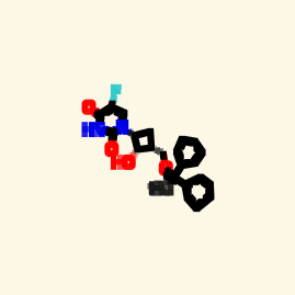 CC(C)(C)[Si](OC[C@H]1C[C@@H](n2cc(F)c(=O)[nH]c2=O)[C@H]1O)(c1ccccc1)c1ccccc1